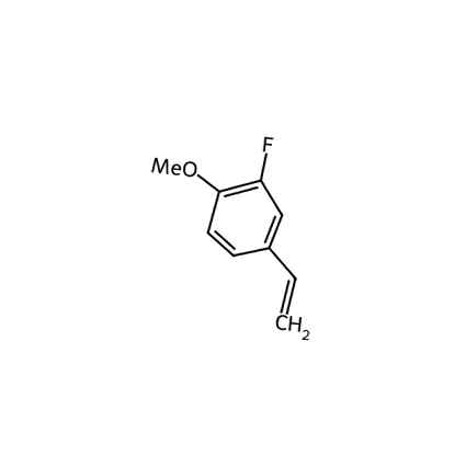 C=Cc1ccc(OC)c(F)c1